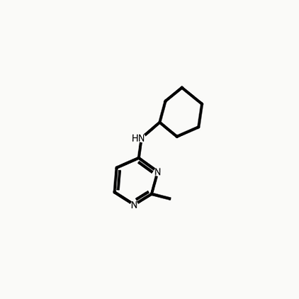 Cc1nccc(NC2CCCCC2)n1